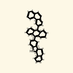 c1ccc2c(c1)ccc1ccc(-c3c4ccccc4c(-c4ccc5[nH]c6c7ccccc7ccc6c5c4)c4ccccc34)cc12